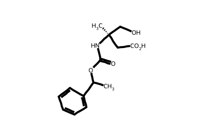 CC(OC(=O)N[C@@](C)(CO)CC(=O)O)c1ccccc1